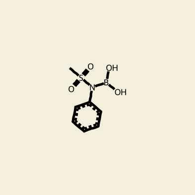 CS(=O)(=O)N(B(O)O)c1ccccc1